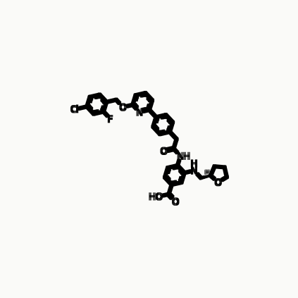 O=C(Cc1ccc(-c2cccc(OCc3ccc(Cl)cc3F)n2)cc1)Nc1ccc(C(=O)O)cc1NC[C@H]1CCCO1